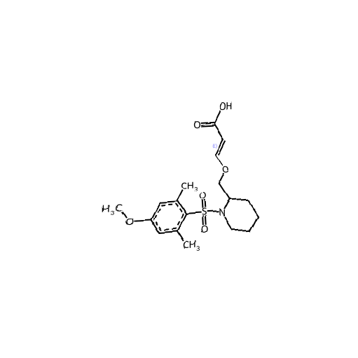 COc1cc(C)c(S(=O)(=O)N2CCCCC2CO/C=C/C(=O)O)c(C)c1